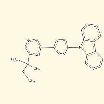 CCC(C)(C)c1cncc(-c2ccc(-n3c4ccccc4c4ccccc43)cc2)c1